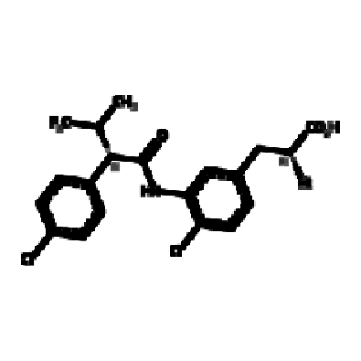 CC[C@H](Cc1ccc(Cl)c(NC(=O)[C@H](c2ccc(Cl)cc2)C(C)C(F)(F)F)c1)C(=O)O